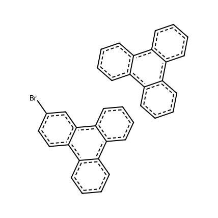 Brc1ccc2c3ccccc3c3ccccc3c2c1.c1ccc2c(c1)c1ccccc1c1ccccc21